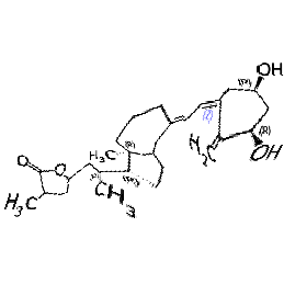 C=C1/C(=C\C=C2CCC[C@@]3(C)C2CC[C@@H]3[C@H](C)CC2CC(C)C(=O)O2)C[C@@H](O)C[C@H]1O